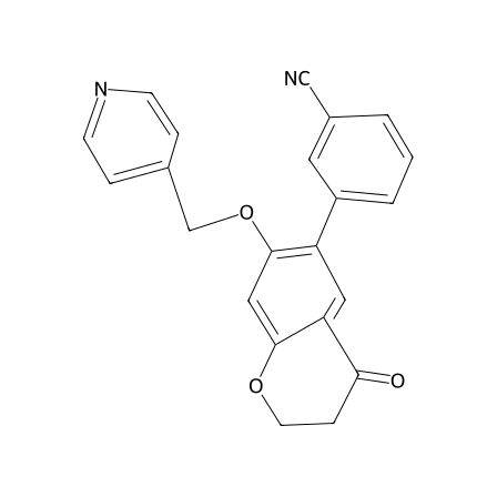 N#Cc1cccc(-c2cc3c(cc2OCc2ccncc2)OCCC3=O)c1